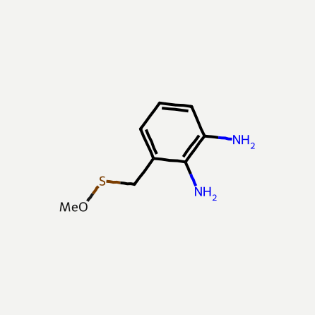 COSCc1cccc(N)c1N